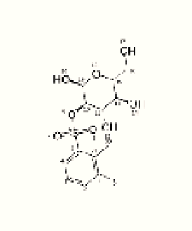 Cc1cccc(S(=O)(=O)O[C@@H]2[C@@H](O)[C@H](O)[C@@H](CO)O[C@@H]2O)c1C